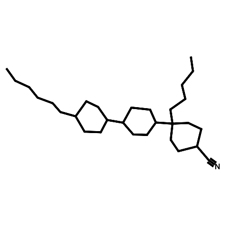 CCCCCCC1CCC(C2CCC(C3(CCCCC)CCC(C#N)CC3)CC2)CC1